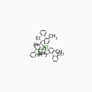 CCc1ccccc1-c1c(C)ccc2c1C=C(C(C)C)[CH]2[Zr]([Cl])([Cl])([c]1cccc2c1[SiH2]c1ccccc1-2)[CH]1C(C(C)C)=Cc2c1ccc(C)c2-c1ccccc1CC